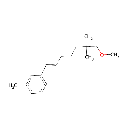 COCC(C)(C)CCC/C=C/c1cccc(C)c1